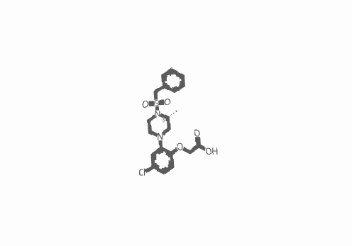 C[C@@H]1CN(c2cc(Cl)ccc2OCC(=O)O)CCN1S(=O)(=O)Cc1ccccc1